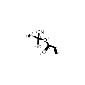 C=CC(=O)OC(C#N)(CC)CCC